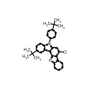 CC(C)(C)c1ccc(-n2c3ccc(C(C)(C)C)cc3c3c4oc5ccccc5c4c(Cl)cc32)cc1